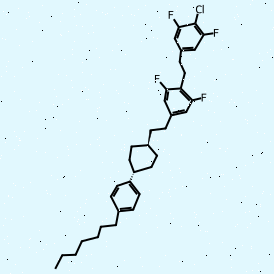 CCCCCCCc1ccc([C@H]2CC[C@H](CCc3cc(F)c(CCc4cc(F)c(Cl)c(F)c4)c(F)c3)CC2)cc1